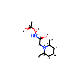 CC(=O)ONC(=O)CN1C(C)CCCC1C